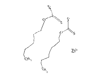 CCCCCOC(=S)[S-].CCCCCOC(=S)[S-].[Zn+2]